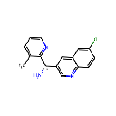 N[C@@H](c1cnc2ccc(Cl)cc2c1)c1ncccc1C(F)(F)F